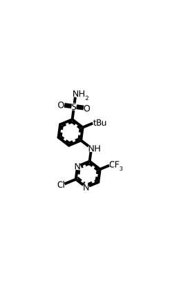 CC(C)(C)c1c(Nc2nc(Cl)ncc2C(F)(F)F)cccc1S(N)(=O)=O